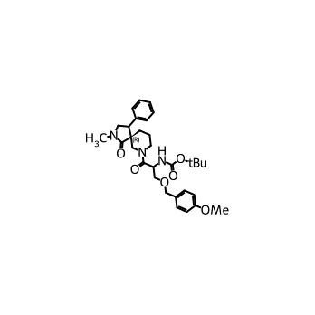 COc1ccc(COCC(NC(=O)OC(C)(C)C)C(=O)N2CCC[C@@]3(C2)C(=O)N(C)CC3c2ccccc2)cc1